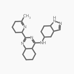 CC1=NC(C2=NC3CCCCC3C(NC3CCC4NN=CC4C3)=N2)CCC1